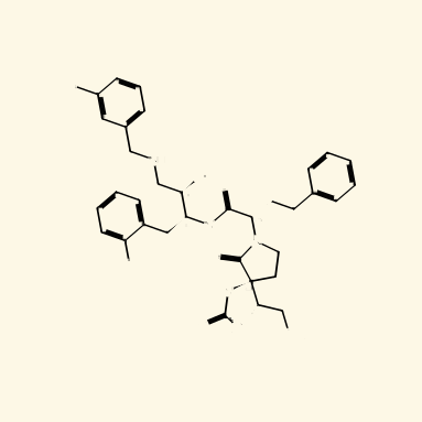 CC[C@H](C)[C@@]1(NC(C)=O)CCN([C@@H](CCc2ccccc2)C(=O)N[C@@H](Cc2ccccc2F)[C@H](O)CNCc2cccc(Cl)c2)C1=O